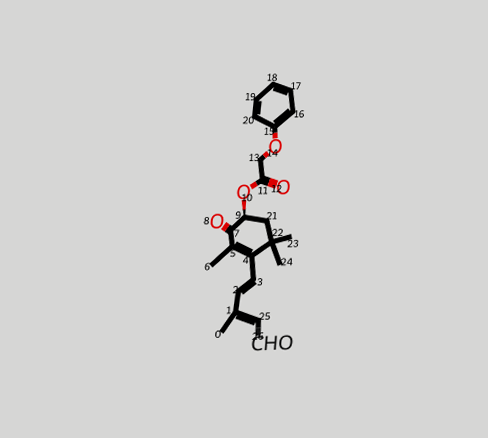 CC(C=CC1=C(C)C(=O)[C@@H](OC(=O)COc2ccccc2)CC1(C)C)=CC=O